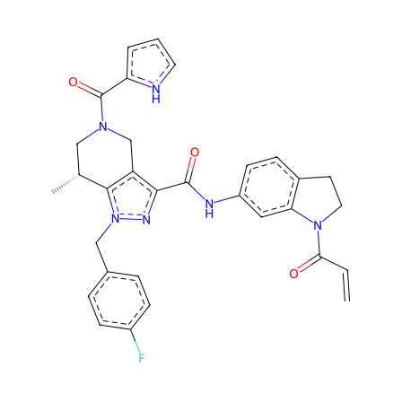 C=CC(=O)N1CCc2ccc(NC(=O)c3nn(Cc4ccc(F)cc4)c4c3CN(C(=O)c3ccc[nH]3)C[C@H]4C)cc21